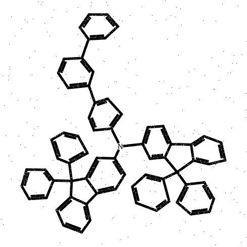 c1ccc(-c2cccc(-c3ccc(N(c4ccc5c(c4)C(c4ccccc4)(c4ccccc4)c4ccccc4-5)c4ccc5c(c4)C(c4ccccc4)(c4ccccc4)c4ccccc4-5)cc3)c2)cc1